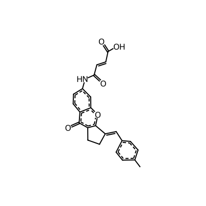 Cc1ccc(C=C2CCc3c2oc2cc(NC(=O)C=CC(=O)O)ccc2c3=O)cc1